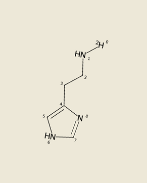 [2H]NCCc1c[nH]cn1